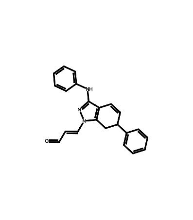 O=CC=Cn1nc(Nc2ccccc2)c2c1CC(c1ccccc1)C=C2